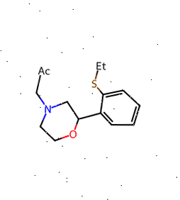 CCSc1ccccc1C1CN(CC(C)=O)CCO1